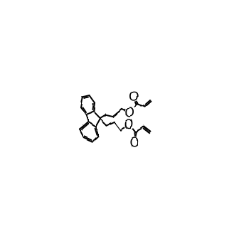 C=CC(=O)OCCCC1(CCCOC(=O)C=C)c2ccccc2-c2ccccc21